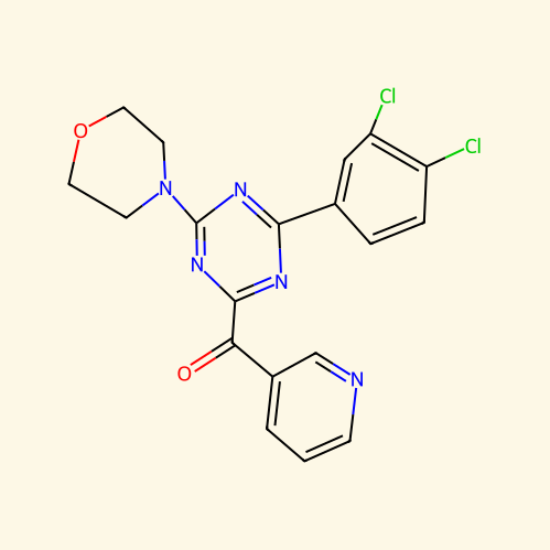 O=C(c1cccnc1)c1nc(-c2ccc(Cl)c(Cl)c2)nc(N2CCOCC2)n1